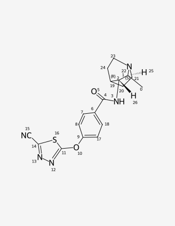 C[C@H]1[C@H](NC(=O)c2ccc(Oc3nnc(C#N)s3)cc2)C2CCN1CC2